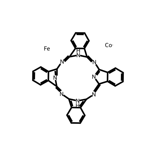 [Co].[Fe].c1ccc2c(c1)-c1nc-2nc2[nH]c(nc3nc(nc4[nH]c(n1)c1ccccc41)-c1ccccc1-3)c1ccccc21